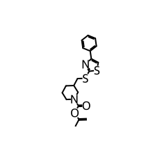 C=C(C)OC(=O)N1CCCC(CSc2nc(-c3ccccc3)cs2)C1